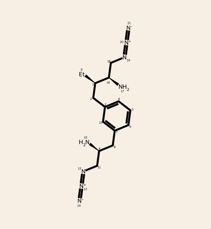 CC[C@H](Cc1cccc(C[C@H](N)CN=[N+]=[N-])c1)[C@H](N)CN=[N+]=[N-]